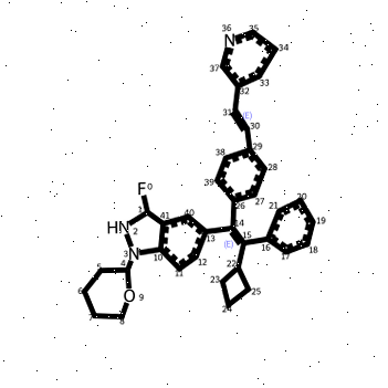 FC1NN(C2CCCCO2)c2ccc(/C(=C(/c3ccccc3)C3CCC3)c3ccc(/C=C/c4cccnc4)cc3)cc21